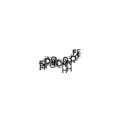 O=C(Nc1ccc(C(F)(F)F)cc1)NC1CCN(S(=O)(=O)c2cccc(C(F)(F)F)c2)CC1